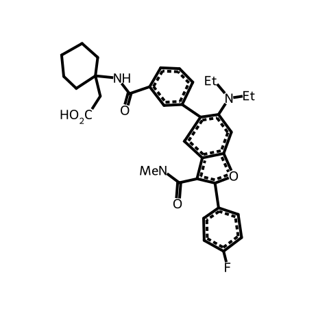 CCN(CC)c1cc2oc(-c3ccc(F)cc3)c(C(=O)NC)c2cc1-c1cccc(C(=O)NC2(CC(=O)O)CCCCC2)c1